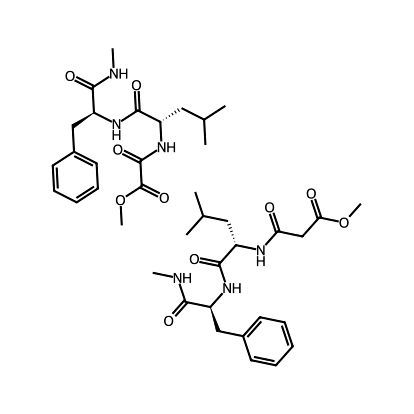 CNC(=O)[C@H](Cc1ccccc1)NC(=O)[C@H](CC(C)C)NC(=O)C(=O)OC.CNC(=O)[C@H](Cc1ccccc1)NC(=O)[C@H](CC(C)C)NC(=O)CC(=O)OC